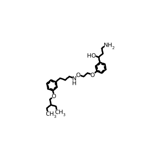 CCC(CC)COc1cccc(CCCNOCCOc2cccc(C(O)CCN)c2)c1